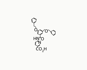 O=C(O)c1ccc(NC(=O)c2cc(COCc3ccccc3)cc(OCCc3ccccc3)c2)nc1